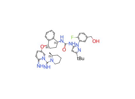 C[C@H]1CCCCN1C(=N)n1cc(O[C@@H]2CC[C@H](NC(=O)Nc3cc(C(C)(C)C)nn3-c3cc(CO)ccc3F)c3ccccc32)ccc1=N